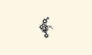 Cc1sc(N(CC2C=CC=CC2)C2=C=CC=C(C#N)C=C2)nc1C(=O)NS(=O)(=O)/C=C/C1C=CC=CC1